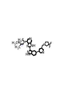 C=N/C(C)=C\N(C)c1cncc2[nH]c(-c3n[nH]c4ccc(-c5cncc(CN6CCC(F)(F)C6)c5)cc34)nc12